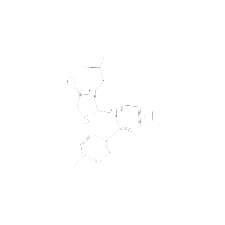 Cc1ccc(-c2cccc[n+]2C2SCC(=O)N2CC(C)C)cc1.[Cl-]